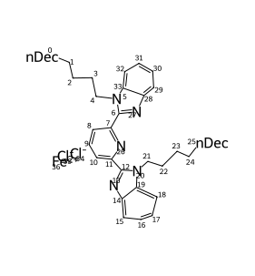 CCCCCCCCCCCCCCn1c(-c2cccc(-c3nc4ccccc4n3CCCCCCCCCCCCCC)n2)nc2ccccc21.[Cl-].[Cl-].[Fe+2]